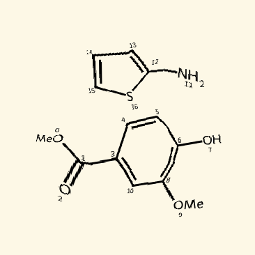 COC(=O)c1ccc(O)c(OC)c1.Nc1cccs1